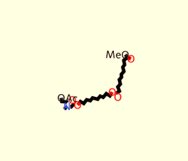 COC(=O)CCCCCCCCCCC(=O)OCCCCCCCCCCOC(=O)CN(C)CCOC(C)=O